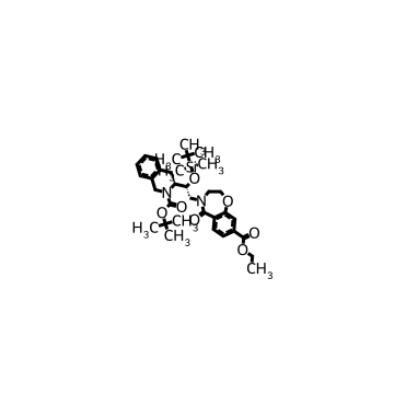 CCOC(=O)c1ccc2c(c1)OCCN(C[C@@H](O[Si](C)(C)C(C)(C)C)[C@@H]1Cc3ccccc3CN1C(=O)OC(C)(C)C)C2=O